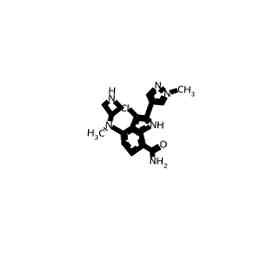 CN(c1ccc(C(N)=O)c2[nH]c(-c3cnn(C)c3)c(Cl)c12)C1CNC1